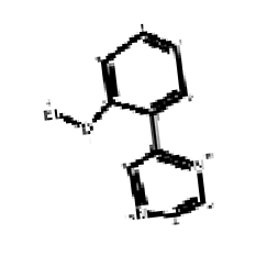 CCOc1ccccc1-c1cnccn1